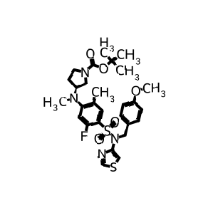 COc1ccc(CN(c2cscn2)S(=O)(=O)c2cc(C)c(N(C)[C@H]3CCN(C(=O)OC(C)(C)C)C3)cc2F)cc1